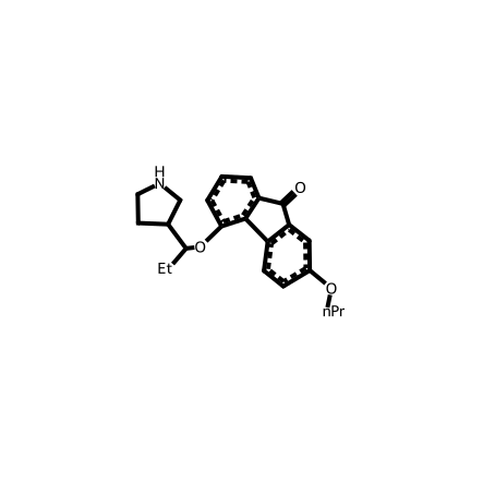 CCCOc1ccc2c(c1)C(=O)c1cccc(OC(CC)C3CCNC3)c1-2